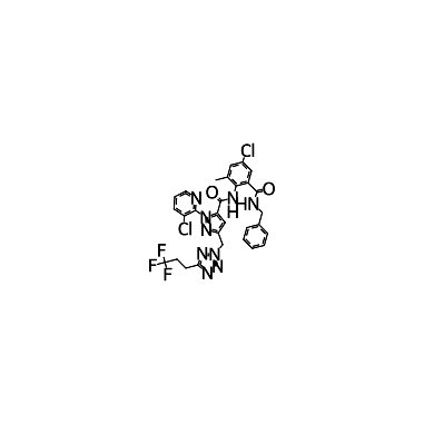 Cc1cc(Cl)cc(C(=O)NCc2ccccc2)c1NC(=O)c1cc(Cn2nnc(CCC(F)(F)F)n2)nn1-c1ncccc1Cl